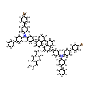 CCCCCCCCc1cc(-c2ccc(N(c3ccc(-c4ccccc4)cc3)c3ccc(-c4ccc(Br)cc4)cc3)cc2)c2ccccc2c1-c1c(CCCCCCCC)cc(-c2ccc(N(c3ccc(-c4ccccc4)cc3)c3ccc(-c4ccc(Br)cc4)cc3)cc2)c2ccccc12